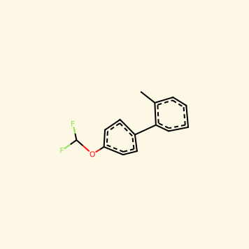 Cc1ccccc1-c1ccc(OC(F)F)cc1